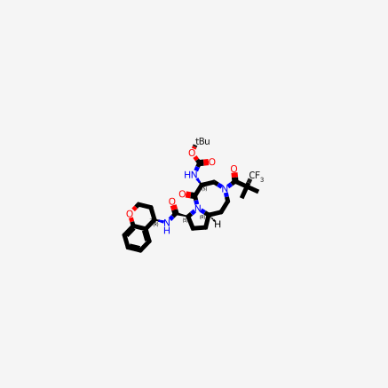 CC(C)(C)OC(=O)N[C@H]1CN(C(=O)C(C)(C)C(F)(F)F)CC[C@H]2CC[C@@H](C(=O)N[C@@H]3CCOc4ccccc43)N2C1=O